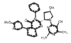 COc1ccc(-c2cccc3nc([C@@H]4C[C@H](O)CN4c4nc(N)nc(C)c4C#N)n(-c4ccccc4)c(=O)c23)cn1